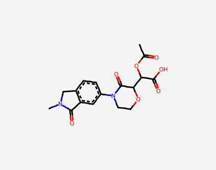 CC(=O)OC(C(=O)O)C1OCCN(c2ccc3c(c2)C(=O)N(C)C3)C1=O